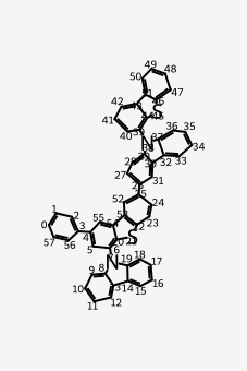 c1ccc(-c2cc(-n3c4ccccc4c4ccccc43)c3sc4ccc(-c5ccc6c(c5)c5ccccc5n6-c5cccc6c5sc5ccccc56)cc4c3c2)cc1